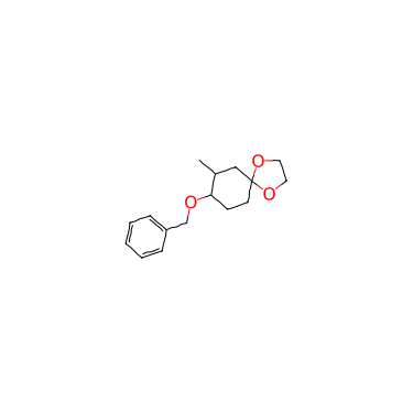 CC1CC2(CCC1OCc1ccccc1)OCCO2